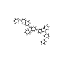 c1ccc(-c2cccc(-n3c4ccccc4c4cc(-c5ccc6c(c5)c5ccccc5n6-c5ccc6ccc(-c7ccccc7)cc6c5)ccc43)c2)cc1